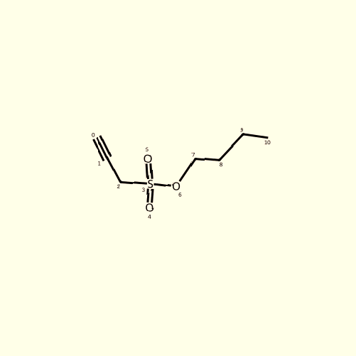 C#CCS(=O)(=O)OCCCC